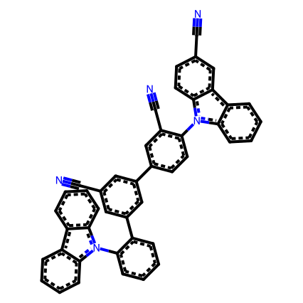 N#Cc1cc(-c2ccc(-n3c4ccccc4c4cc(C#N)ccc43)c(C#N)c2)cc(-c2ccccc2-n2c3ccccc3c3ccccc32)c1